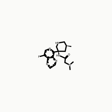 C[C@@H]1CNC[C@@](NC(=O)CN(C)C)(c2ncc(F)c3nccnc23)C1